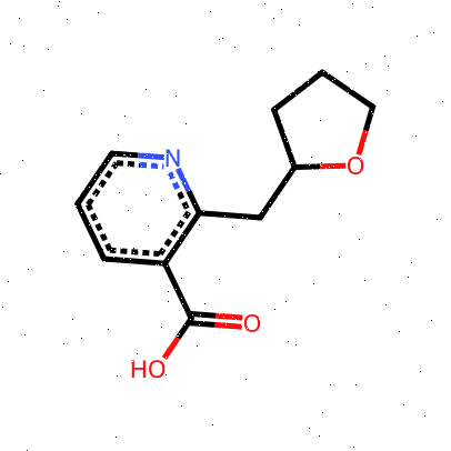 O=C(O)c1cccnc1CC1CCCO1